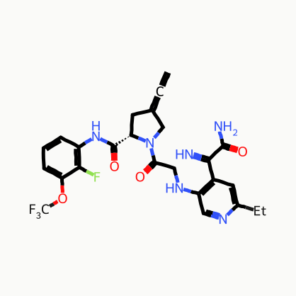 C=C=C1C[C@@H](C(=O)Nc2cccc(OC(F)(F)F)c2F)N(C(=O)CNc2cnc(CC)cc2C(=N)C(N)=O)C1